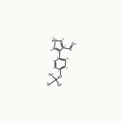 [2H]C([2H])([2H])Oc1ccc(-c2n[nH]nc2C=O)cc1